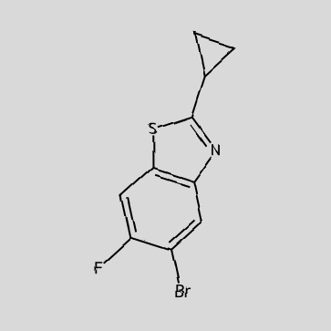 Fc1cc2sc(C3CC3)nc2cc1Br